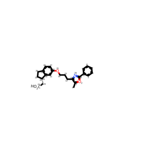 Cc1oc(-c2ccccc2)nc1CCCOc1ccc2c(c1)[C@H](CC(=O)O)CC2